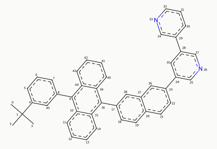 CC(C)(C)c1cccc(-c2c3ccccc3c(-c3ccc4ccc(-c5cncc(-c6cccnc6)c5)cc4c3)c3ccccc23)c1